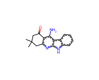 CC1(C)CC(=O)c2c(nc3[nH]c4ccccc4c3c2N)C1